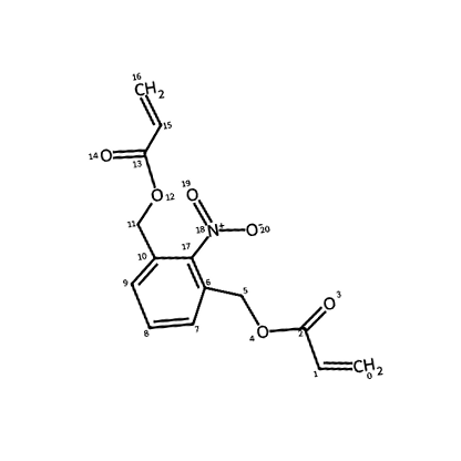 C=CC(=O)OCc1cccc(COC(=O)C=C)c1[N+](=O)[O-]